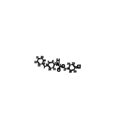 O=C(Nc1ccc(Cc2ccccc2)cc1)OCc1ccc(Cl)cc1